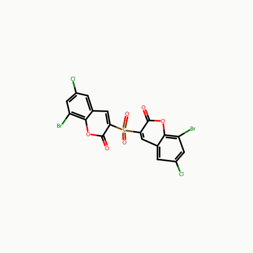 O=c1oc2c(Br)cc(Cl)cc2cc1S(=O)(=O)c1cc2cc(Cl)cc(Br)c2oc1=O